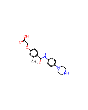 Cc1cc(OCC(=O)O)ccc1C(=O)Nc1ccc(N2CCNCC2)cc1